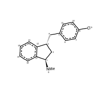 CN[C@@H]1C[C@@H](Cc2ccc(Cl)cc2)c2ccccc21